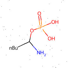 CCCCC(N)OP(=O)(O)O